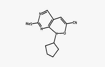 CSc1ncc2c(n1)N(C1CCCC1)OC(C#N)=C2